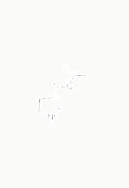 CC(C)NC[C@H]1CCNC1